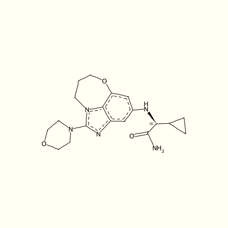 NC(=O)[C@@H](Nc1cc2c3c(c1)nc(N1CCOCC1)n3CCCO2)C1CC1